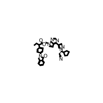 CCC(C(=O)OCn1ccc2c(-c3cnn([C@H](CC#N)C4CCCC4)c3)ncnc21)c1ccc(N2Cc3ccccc3C2=O)cc1